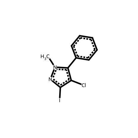 Cn1nc(I)c(Cl)c1-c1ccccc1